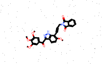 COc1cc(C(=O)c2n[nH]c3c(C#CCN4C(=O)c5ccccc5C4=O)c(OC)ccc23)cc(OC)c1OC